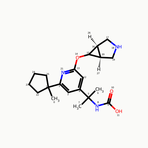 CC1(c2cc(C(C)(C)NC(=O)O)cc(OC3[C@H]4CNC[C@@H]34)n2)CCCC1